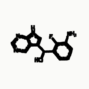 Nc1cccc(C(O)c2c[nH]c3ncncc23)c1F